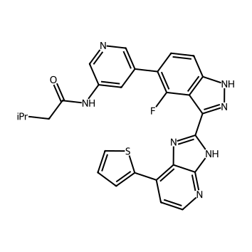 CC(C)CC(=O)Nc1cncc(-c2ccc3[nH]nc(-c4nc5c(-c6cccs6)ccnc5[nH]4)c3c2F)c1